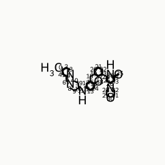 Cc1ccnc(CN2CCC(Nc3ccc4c(c3)Cc3cccc(-c5cc(N6CCOCC6)cc(=O)[nH]5)c3O4)CC2)c1